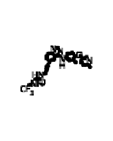 Cc1ccc(Oc2ccc(Nc3ncnc4ccc(C#CCNC(=O)CNCC(F)(F)F)cc34)cc2C)cn1